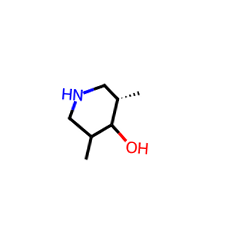 CC1CNC[C@H](C)C1O